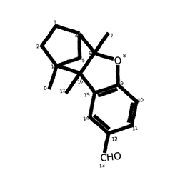 CC12CCC(C1)C1(C)Oc3ccc(C=O)cc3C21C